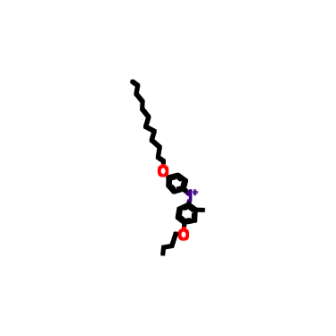 CCCCCCCCCCCCOc1ccc([I+]c2ccc(OCCCC)cc2C)cc1